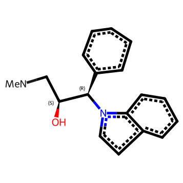 CNC[C@H](O)[C@@H](c1ccccc1)n1ccc2ccccc21